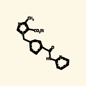 CCOC(=O)c1c(C)ncn1Cc1ccc(C(=O)Nc2ccccn2)cc1